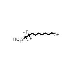 O=S(=O)(O)C(F)(F)C(F)(F)CCCCCCCO